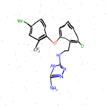 Nc1nnc(NCc2c(Cl)cccc2Oc2ccc(Br)cc2C(F)(F)F)[nH]1